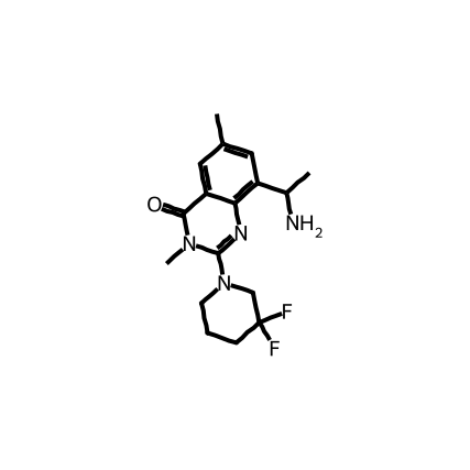 Cc1cc(C(C)N)c2nc(N3CCCC(F)(F)C3)n(C)c(=O)c2c1